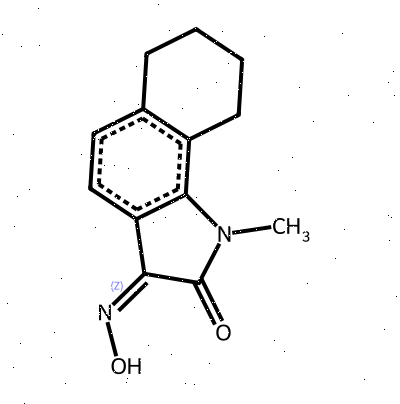 CN1C(=O)/C(=N\O)c2ccc3c(c21)CCCC3